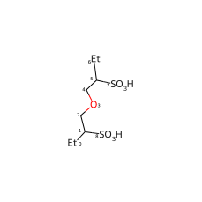 CCC(COCC(CC)S(=O)(=O)O)S(=O)(=O)O